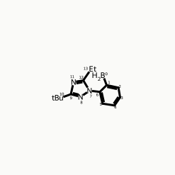 Bc1ccccc1-n1nc(C(C)(C)C)nc1CC